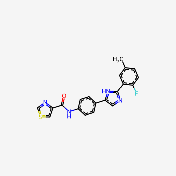 Cc1ccc(F)c(-c2ncc(-c3ccc(NC(=O)c4cscn4)cc3)[nH]2)c1